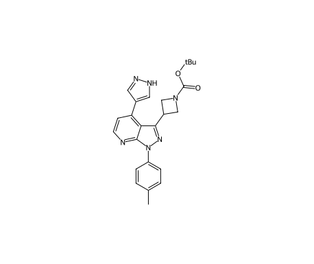 Cc1ccc(-n2nc(C3CN(C(=O)OC(C)(C)C)C3)c3c(-c4cn[nH]c4)ccnc32)cc1